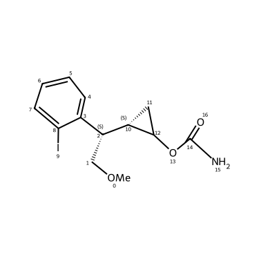 COC[C@H](c1ccccc1I)[C@@H]1CC1OC(N)=O